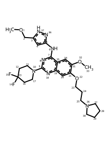 COCc1cc(Nc2nc(N3CCC(F)(F)CC3)nc3cc(OCCCN4CCCC4)c(OC)cc23)n[nH]1